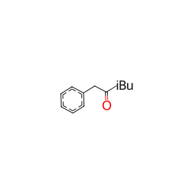 CCC(C)C(=O)Cc1ccccc1